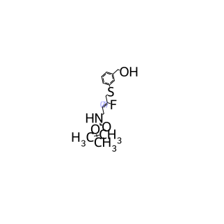 CC(C)(C)OC(=O)NC/C=C(\F)CSc1cccc(CO)c1